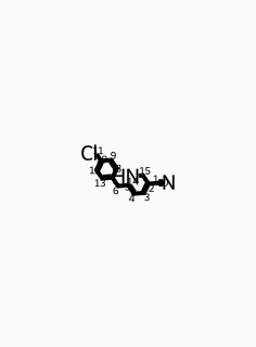 N#CC1=CC=C(Cc2ccc(Cl)cc2)NC1